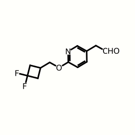 O=CCc1ccc(OCC2CC(F)(F)C2)nc1